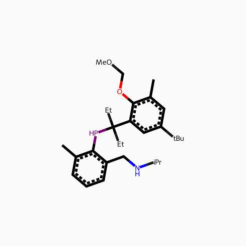 CCC(CC)(Pc1c(C)cccc1CNC(C)C)c1cc(C(C)(C)C)cc(C)c1OCOC